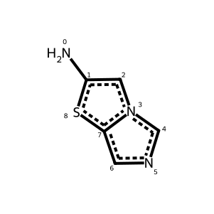 Nc1cn2cncc2s1